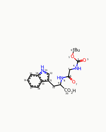 CC(C)(C)OC(=O)NCC(=O)NC(Cc1c[nH]c2ccccc12)C(=O)O